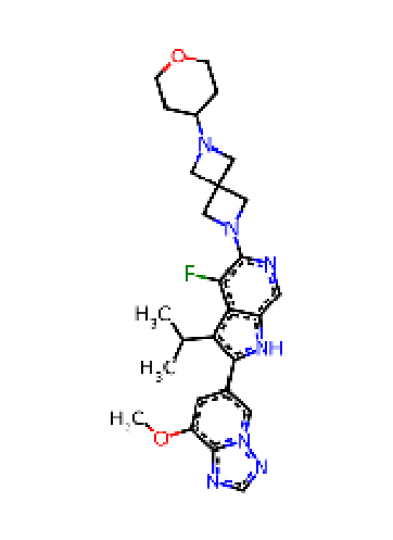 COc1cc(-c2[nH]c3cnc(N4CC5(C4)CN(C4CCOCC4)C5)c(F)c3c2C(C)C)cn2ncnc12